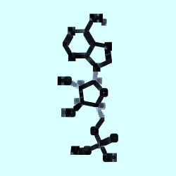 COP(=O)(O)OC[C@H]1O[C@@H](n2cnc3c(N)ncnc32)[C@@H](O)[C@@H]1O